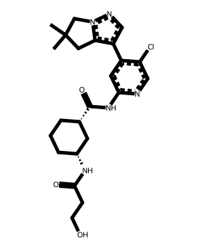 CC1(C)Cc2c(-c3cc(NC(=O)[C@H]4CCC[C@@H](NC(=O)CCO)C4)ncc3Cl)cnn2C1